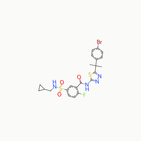 CC(C)(c1ccc(Br)cc1)c1nnc(NC(=O)c2cc(S(=O)(=O)NCC3CC3)ccc2F)s1